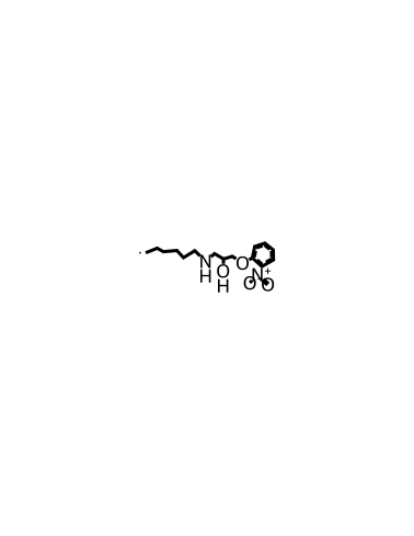 [CH2]CCCCCNCC(O)COc1ccccc1[N+](=O)[O-]